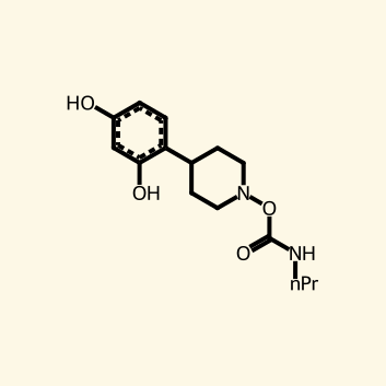 CCCNC(=O)ON1CCC(c2ccc(O)cc2O)CC1